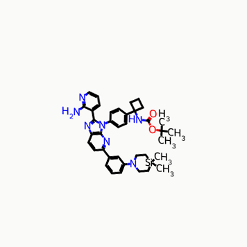 CC(C)(C)OC(=O)NC1(c2ccc(-n3c(-c4cccnc4N)nc4ccc(-c5cccc(N6CC[Si](C)(C)CC6)c5)nc43)cc2)CCC1